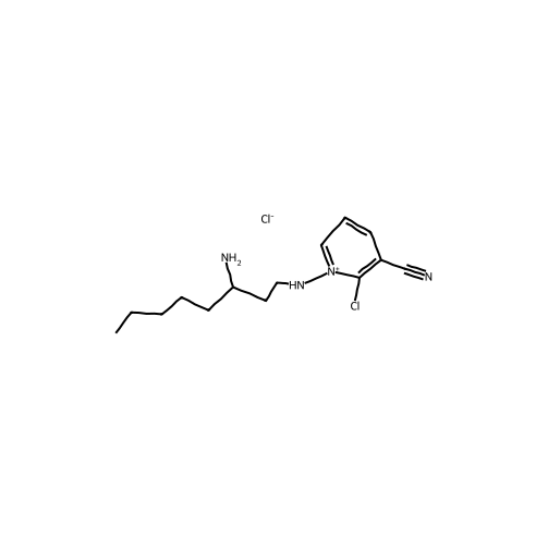 CCCCCC(N)CCN[n+]1cccc(C#N)c1Cl.[Cl-]